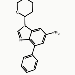 Nc1cc(-c2ccccc2)c2ncn(C3CCCCO3)c2c1